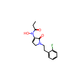 CCC(=O)N(O)C1=CCN(CCc2ccccc2F)C1=O